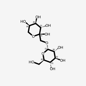 OC[C@H]1O[C@H](OC[C@]2(O)OC[C@@H](O)[C@@H](O)[C@@H]2O)[C@H](O)[C@@H](O)[C@@H]1O